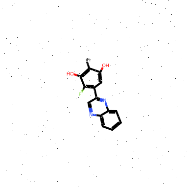 CC(C)c1c(O)cc(-c2cnc3ccccc3n2)c(F)c1O